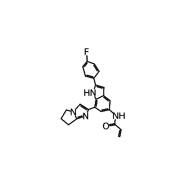 C=CC(=O)Nc1cc(-c2cn3c(n2)CCC3)c2[nH]c(-c3ccc(F)cc3)cc2c1